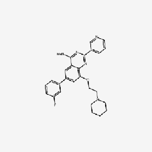 CNc1nc(-c2cccnc2)nc2c(OCCN3CCCCC3)cc(-c3cccc(F)c3)cc12